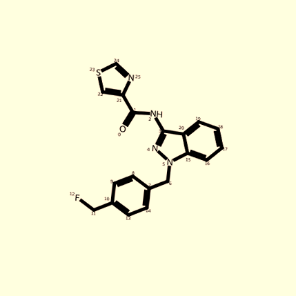 O=C(Nc1nn(Cc2ccc(CF)cc2)c2ccccc12)c1cscn1